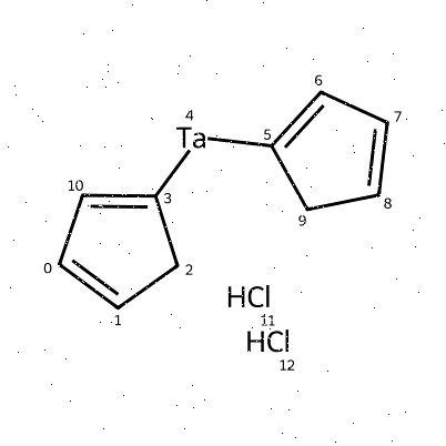 C1=CC[C]([Ta][C]2=CC=CC2)=C1.Cl.Cl